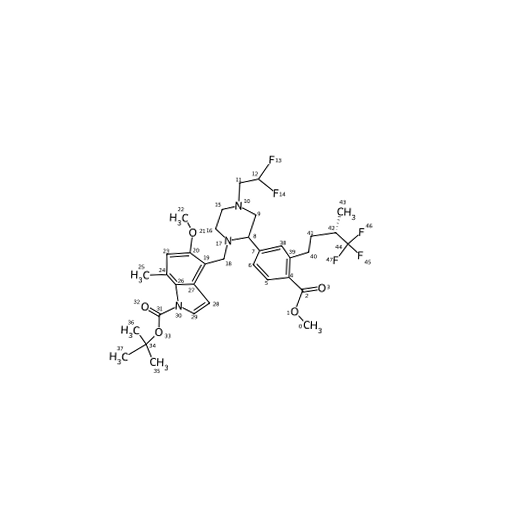 COC(=O)c1ccc(C2CN(CC(F)F)CCN2Cc2c(OC)cc(C)c3c2ccn3C(=O)OC(C)(C)C)cc1CC[C@H](C)C(F)(F)F